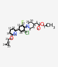 CCOC(=O)CC1CCN(c2c(F)cc(-c3cccc(OCC4CC4)n3)cc2Cl)CC1